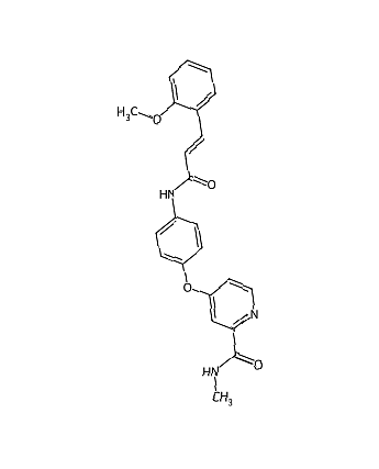 CNC(=O)c1cc(Oc2ccc(NC(=O)/C=C/c3ccccc3OC)cc2)ccn1